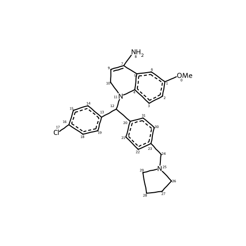 COc1ccc2c(c1)C(N)=CCN2C(c1ccc(Cl)cc1)c1ccc(CN2CCCC2)cc1